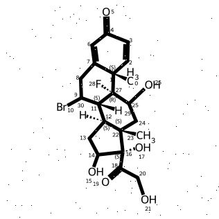 C[C@]12C=CC(=O)C=C1CC(Br)[C@H]1[C@@H]3CC(O)[C@](O)(C(=O)CO)[C@@]3(C)CC(O)[C@@]12F